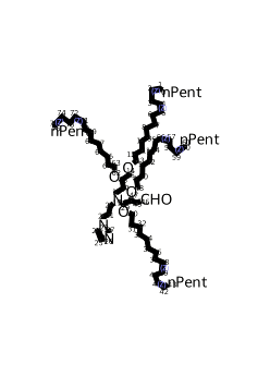 CCCCC/C=C\C/C=C\CCCCCCCCOCC(CCN(CCCn1ccnc1)C(OCCCCCCCC/C=C\C/C=C\CCCCC)C(CC=O)OCCCCCCCC/C=C\C/C=C\CCCCC)OCCCCCCCC/C=C\C/C=C\CCCCC